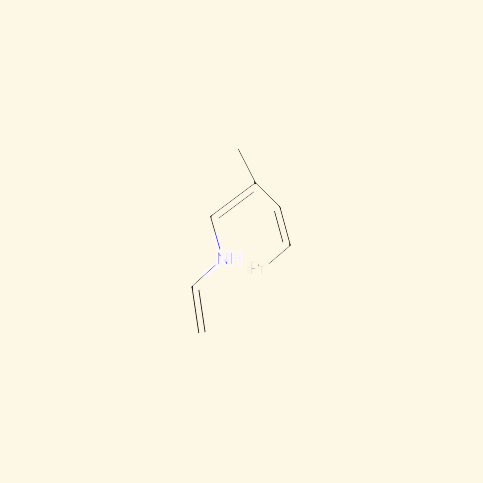 C=CN/C=C(C)\C=C/C(C)C